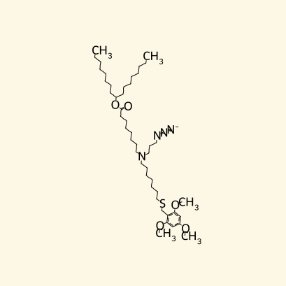 CCCCCCCCC(CCCCCCCC)OC(=O)CCCCCCCN(CCCCCCCSCc1c(OC)cc(OC)cc1OC)CCCN=[N+]=[N-]